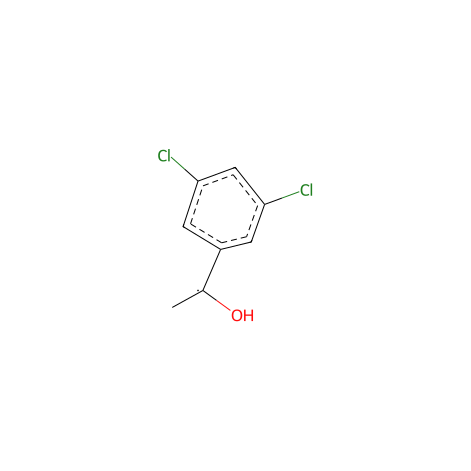 C[C](O)c1cc(Cl)cc(Cl)c1